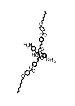 C=CCCCCCCOC1CCC(C(=O)Oc2ccc(C=CC(=O)CC(Cc3ccc(N)cc3)(Cc3ccc(N)cc3)C(O)(O)C(=O)C=Cc3ccc(OC(=O)C4CCC(OCCCCCCC=C)CC4)cc3)cc2)CC1